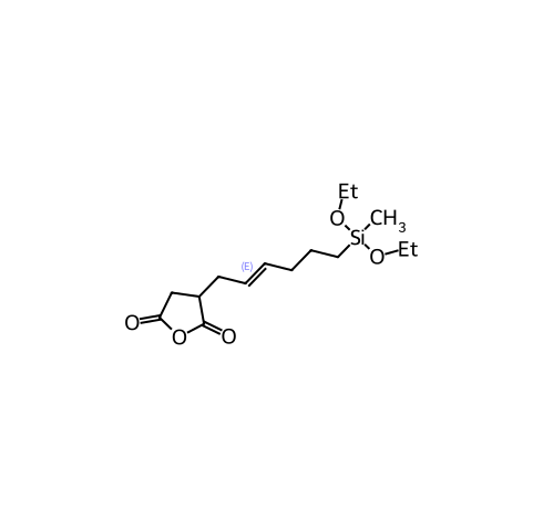 CCO[Si](C)(CCC/C=C/CC1CC(=O)OC1=O)OCC